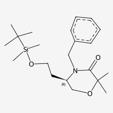 CC1(C)OC[C@@H](CCO[Si](C)(C)C(C)(C)C)N(Cc2ccccc2)C1=O